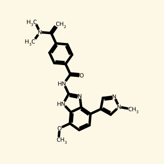 C=C(c1ccc(C(=O)Nc2nc3c(-c4cnn(C)c4)ccc(OC)c3[nH]2)cc1)N(C)C